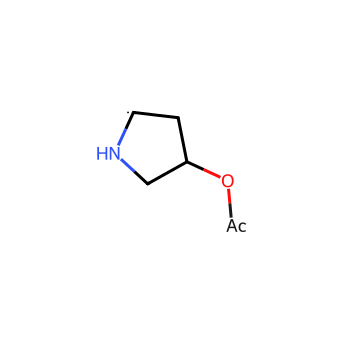 CC(=O)OC1C[CH]NC1